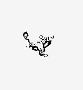 O=C(NCCCN1CCCCC1)c1ccc(-c2ccc(=O)n(Cc3ccc4[nH]c(=O)[nH]c4c3)n2)cc1